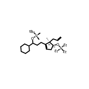 C=CC[C@]1(C)C(CCC(O[Si](C)(C)C(C)(C)C)C2CCCCC2)=CC[C@@H]1O[Si](CC)(CC)CC